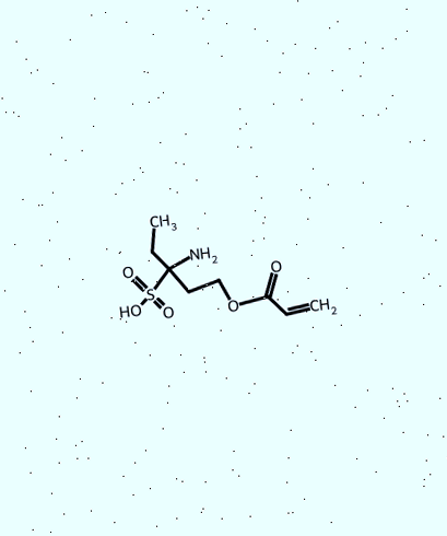 C=CC(=O)OCCC(N)(CC)S(=O)(=O)O